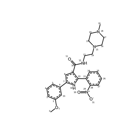 COc1cccc(-c2cc(C(=O)NCCN3CCN(C)CC3)c(-c3ccccc3[N+](=O)[O-])[nH]2)c1